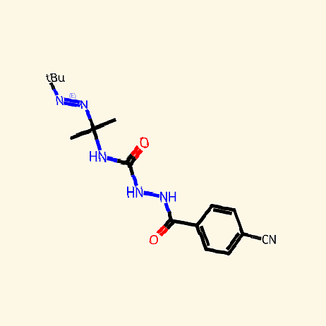 CC(C)(C)/N=N/C(C)(C)NC(=O)NNC(=O)c1ccc(C#N)cc1